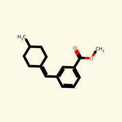 COC(=O)c1cccc(C=C2CCC(C)CC2)c1